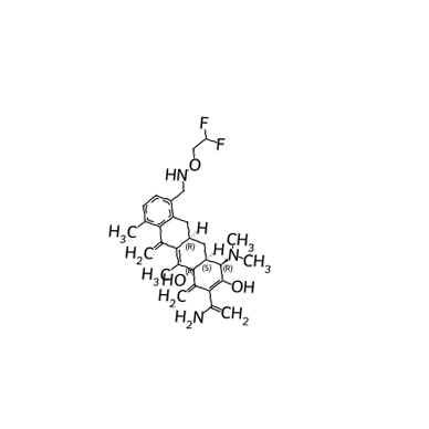 C=C(N)C1=C(O)[C@H](N(C)C)[C@@H]2C[C@@H]3Cc4c(CNOCC(F)F)ccc(C)c4C(=C)C3=C(C)[C@]2(O)C1=C